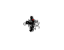 C=C[C@@H]1C[C@]1(NC(=O)[C@@H]1CN(S(=O)(=O)c2cccc(Cl)c2)CN1C(=O)[C@@H](NC(=O)OC1CCCC1)C(C)(C)C)C(=O)NS(=O)(=O)C1CC1